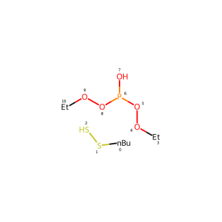 CCCCSS.CCOOP(O)OOCC